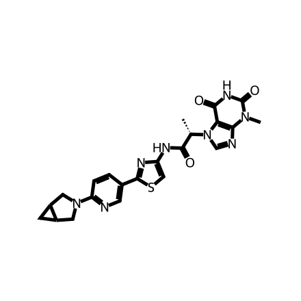 C[C@@H](C(=O)Nc1csc(-c2ccc(N3CC4CC4C3)nc2)n1)n1cnc2c1c(=O)[nH]c(=O)n2C